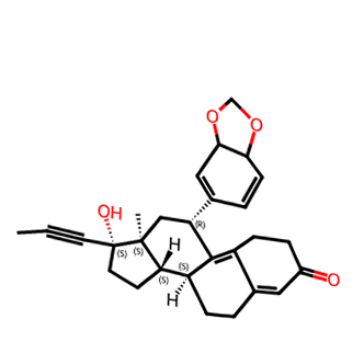 CC#C[C@]1(O)CC[C@H]2[C@@H]3CCC4=CC(=O)CCC4=C3[C@@H](C3=CC4OCOC4C=C3)C[C@@]21C